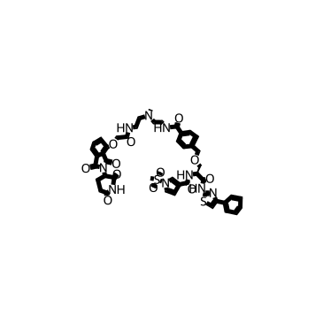 CN(CCNC(=O)COc1cccc2c1C(=O)N(C1CCC(=O)NC1=O)C2=O)CCNC(=O)c1ccc(COC[C@H](NC(=O)c2ccn(S(C)(=O)=O)c2)C(=O)Nc2nc(-c3ccccc3)cs2)cc1